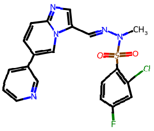 CN(N=Cc1cnc2ccc(-c3cccnc3)cn12)S(=O)(=O)c1ccc(F)cc1Cl